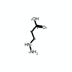 NNCCC(=O)O